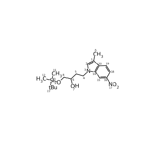 Cc1cn(CCC(O)CO[Si](C)(C)C(C)(C)C)c2cc([N+](=O)[O-])ccc12